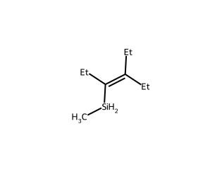 CCC(CC)=C(CC)[SiH2]C